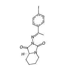 C/C(=N\N1C(=O)[C@@H]2CCCCN2C1=O)c1ccc(I)cc1